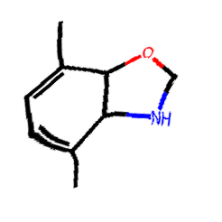 CC1=CC=C(C)C2OCNC12